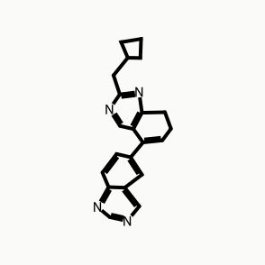 C1=C(c2ccc3ncncc3c2)c2cnc(CC3CCC3)nc2CC1